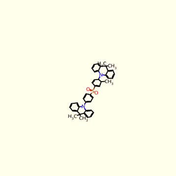 CC1C=C(S(=O)(=O)c2ccc(N3c4ccccc4C(C)(C)c4ccccc43)cc2)C=CC1N1c2ccccc2C(C)(C)c2ccccc21